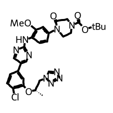 COc1cc(N2CCN(C(=O)OC(C)(C)C)CC2=O)ccc1Nc1ncc(-c2ccc(Cl)c(O[C@@H](C)Cn3cnnn3)c2)cn1